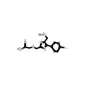 COCc1sc(COCC(N)=O)nc1-c1ccc(F)cc1